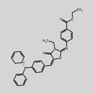 CCOC(=O)c1ccc(/N=C2/O/C(=C/c3ccc(N(c4ccccc4)[C@H]4C=CC=CC4)cc3)C(=O)N2CC)cc1